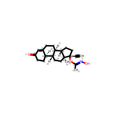 C#C[C@]1(OC(C)=NO)CC[C@H]2[C@@H]3CCC4=CC(=O)CC[C@@H]4[C@H]3CC[C@@]21C